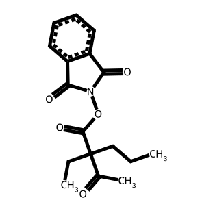 CCCC(CC)(C(C)=O)C(=O)ON1C(=O)c2ccccc2C1=O